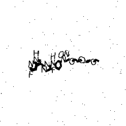 CCOCCOCCOCCN(C(=O)N(C)C)[C@@H]1CCC[C@H](Nc2nc(-c3c[nH]c4ncc(F)cc34)ncc2F)C1